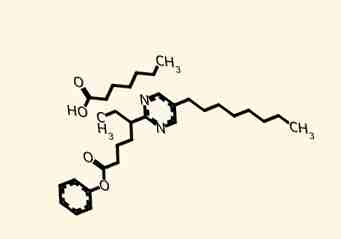 CCCCCCC(=O)O.CCCCCCCCc1cnc(C(CC)CCCC(=O)Oc2ccccc2)nc1